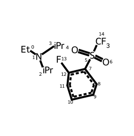 CCN(C(C)C)C(C)C.O=S(=O)(c1ccccc1F)C(F)(F)F